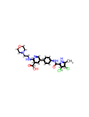 Cc1[nH]c(C(=O)Nc2ccc(-c3cnc(NCCN4CCOCC4)c(C(=O)O)c3)cc2)c(Cl)c1Cl